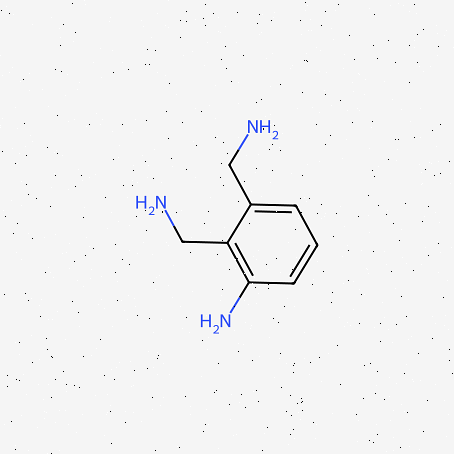 NCc1cccc(N)c1CN